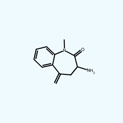 C=C1CC(N)C(=O)N(C)c2ccccc21